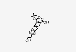 CC(C)(C)OC(=O)N1C(C(=O)O)CC2(Cc3nc(CCO)no3)CC12